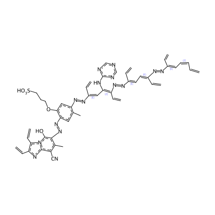 C=C/C=C\C=C(/C=C)N=N/C(C=C)=C/C=C(\C=C)N=N/C(C=C)=C(/C=C(\C=C)N=Nc1cc(OCCCS(=O)(=O)O)c(N=Nc2c(C)c(C#N)c3nc(C=C)c(C=C)n3c2O)cc1C)Nc1ncncn1